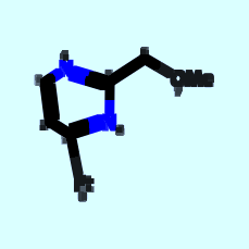 CCc1[c]cnc(COC)n1